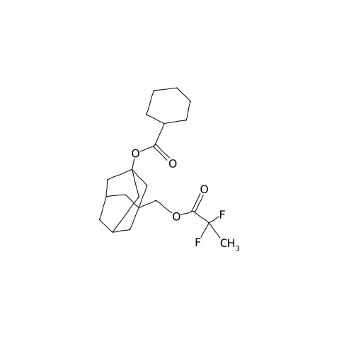 CC(F)(F)C(=O)OCC12CC3CC(C1)CC(OC(=O)C1CCCCC1)(C3)C2